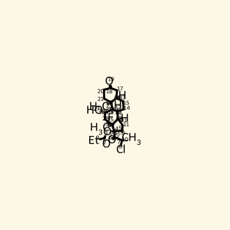 CCC(=O)O[C@]1(C(=O)CCl)[C@@H](C)C[C@H]2[C@@H]3CC[C@H]4CC(=O)CC[C@]4(C)[C@@]3(F)[C@@H](O)C[C@@]21C